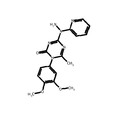 COc1ccc(-n2c(C)nc(N(N)c3ccccn3)nc2=O)cc1OC